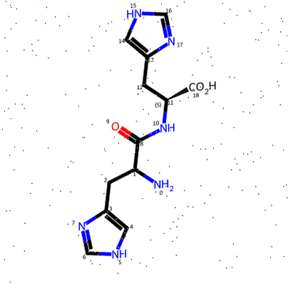 NC(Cc1c[nH]cn1)C(=O)N[C@@H](Cc1c[nH]cn1)C(=O)O